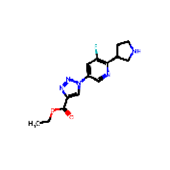 CCOC(=O)c1cn(-c2cnc(C3CCNC3)c(F)c2)nn1